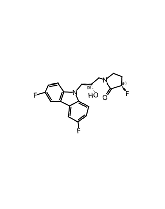 O=C1[C@H](F)CCN1C[C@H](O)Cn1c2ccc(F)cc2c2cc(F)ccc21